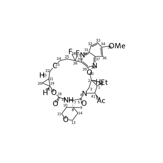 CC[C@@H]1[C@@H]2CN(C(=O)[C@H](C3(C)CCOCC3)NC(=O)O[C@@H]3C[C@H]3CCCCC(F)(F)c3nc4ccc(OC)cc4nc3O2)[C@@H]1C(C)=O